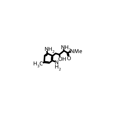 CNC(=O)C(N)C(O)Cc1c(N)cc(C)cc1N